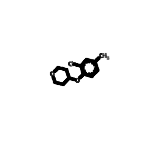 Cc1ccc(OC2CCOCC2)c(Cl)c1